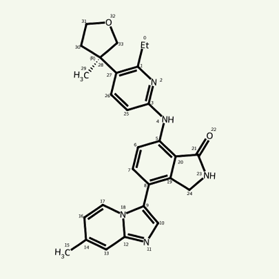 CCc1nc(Nc2ccc(-c3cnc4cc(C)ccn34)c3c2C(=O)NC3)ccc1[C@@]1(C)CCOC1